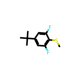 CSc1c(F)cc(C(C)(C)C)cc1F